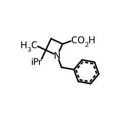 CC(C)C1(C)CC(C(=O)O)N1Cc1ccccc1